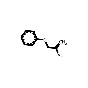 C=C(COc1ccccc1)C(C)=O